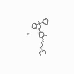 CCN(CC)CCCOc1ccc(C(=O)CC(C)(c2ccccc2)c2ccccc2)cc1C.Cl